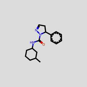 CC1CCCC(NC(=O)N2N=CCC2c2ccccc2)C1